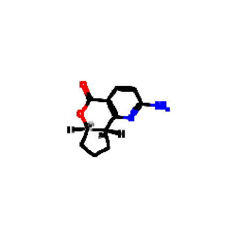 Nc1ccc2c(n1)[C@@H]1CCC[C@@H]1OC2=O